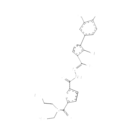 CCCN(CC)C(=O)c1ccc(C(=O)N/N=C(\C)c2csc(-c3ccc(Cl)c(Cl)c3)c2O)s1